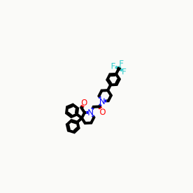 O=CC1N(CC(=O)N2CCC(c3ccc(C(F)(F)F)cc3)CC2)CCCC1(c1ccccc1)c1ccccc1